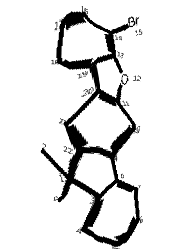 CC1(C)c2ccccc2-c2cc3oc4c(Br)cccc4c3cc21